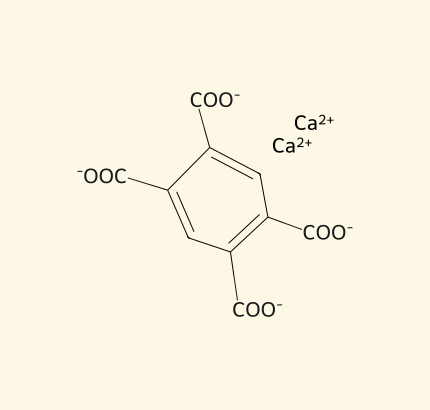 O=C([O-])c1cc(C(=O)[O-])c(C(=O)[O-])cc1C(=O)[O-].[Ca+2].[Ca+2]